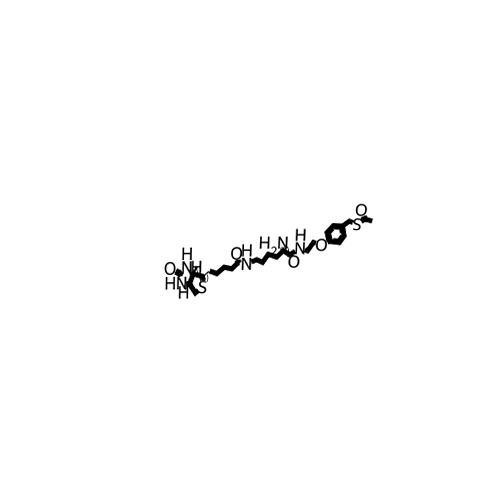 CC(=O)SCc1ccc(OCCNC(=O)[C@H](N)CCCCNC(=O)CCCC[C@@H]2SC[C@@H]3NC(=O)N[C@@H]32)cc1